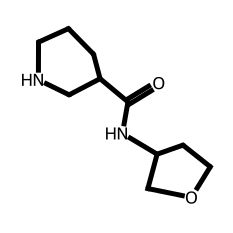 O=C(NC1CCOC1)C1CCCNC1